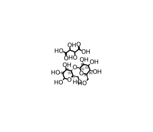 O=C(O)C(O)C(O)C(=O)O.OC[C@H]1O[C@@H](O[C@H]2[C@H](O)[C@@H](O)C(O)O[C@@H]2CO)[C@H](O)[C@@H](O)[C@H]1O